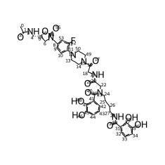 CC(=O)NC[C@H]1CN(c2ccc(N3CCN(C(=O)CNC(=O)CN(CCCCNC(=O)c4cccc(O)c4O)C(=O)c4cccc(O)c4O)CC3)c(F)c2)C(=O)O1